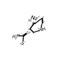 C1CCNCC1.NC(=S)[S-].[Na+]